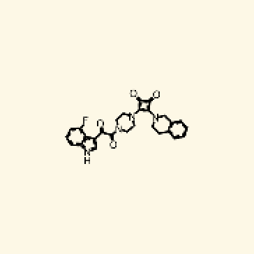 O=C(C(=O)N1CCN(c2c(N3CCc4ccccc4C3)c(=O)c2=O)CC1)c1c[nH]c2cccc(F)c12